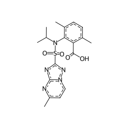 Cc1ccn2nc(S(=O)(=O)N(c3c(C)ccc(C)c3C(=O)O)C(C)C)nc2n1